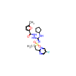 Cc1ccc(C(=O)NN/C(=N\S(=O)(=O)[C@@H](C)Cc2ncc(F)cn2)NC2CCCC2)o1